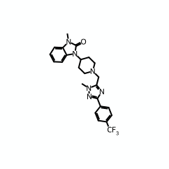 Cn1nc(-c2ccc(C(F)(F)F)cc2)nc1CN1CCC(n2c(=O)n(C)c3ccccc32)CC1